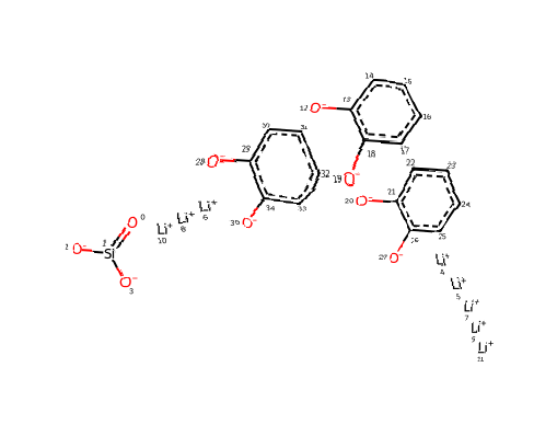 O=[Si]([O-])[O-].[Li+].[Li+].[Li+].[Li+].[Li+].[Li+].[Li+].[Li+].[O-]c1ccccc1[O-].[O-]c1ccccc1[O-].[O-]c1ccccc1[O-]